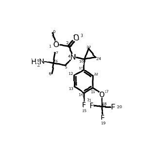 COC(=O)N(CC(C)(C)N)C1(c2ccc(F)c(OC(F)(F)F)c2)CC1